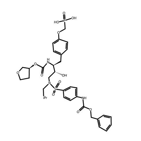 CC(C)CN(C[C@@H](O)[C@H](Cc1ccc(OCP(=O)(O)O)cc1)NC(=O)O[C@H]1CCOC1)S(=O)(=O)c1ccc(NC(=O)OCc2ccccc2)cc1